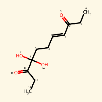 CCC(=O)C=CCCC(O)(O)C(=O)CC